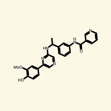 COc1cc(-c2cncc(NC(C)c3cccc(NC(=O)c4cccnc4)c3)n2)ccc1O